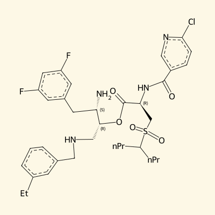 CCCC(CCC)S(=O)(=O)C[C@H](NC(=O)c1ccc(Cl)nc1)C(=O)O[C@H](CNCc1cccc(CC)c1)[C@@H](N)Cc1cc(F)cc(F)c1